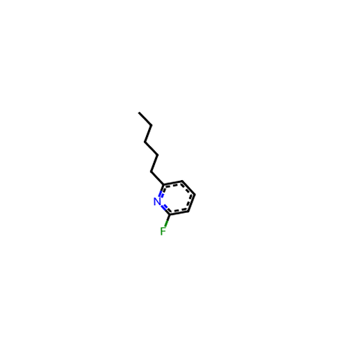 CCCCCc1cccc(F)n1